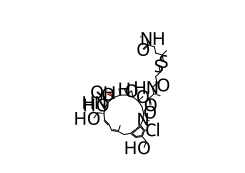 CNC(=O)CCC(C)SSCCC(=O)N[C@@H](C)C(=O)O[C@H]1CC(=O)N(C)c2cc(cc(CO)c2Cl)C/C(C)=C/C=C/[C@@H](CO)[C@@]2(O)C[C@H](OC(=O)N2)[C@@H](C)[C@@H]2O[C@@]12C